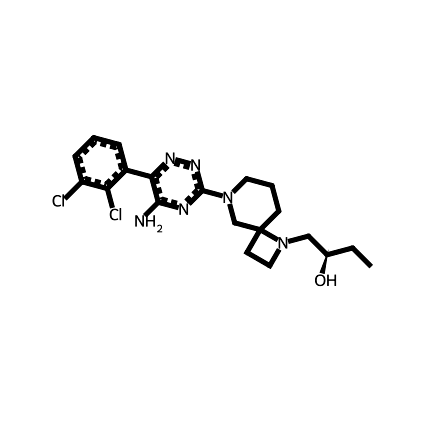 CC[C@@H](O)CN1CCC12CCCN(c1nnc(-c3cccc(Cl)c3Cl)c(N)n1)C2